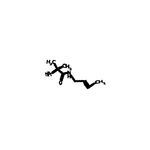 C/C=C/CNC(=O)C(C)(C)CCC